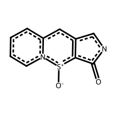 O=c1ncc2cc3ccccn3[s+]([O-])c1=2